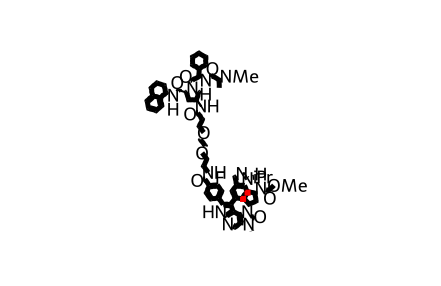 CN[C@@H](C)C(=O)N[C@H](C(=O)N1C[C@@H](NC(=O)CCOCCOCCNC(=O)c2ccc(-c3[nH]c4ncc5c(c4c3-c3ccc4c(cnn4C(C)C)c3)n([C@@H]3CC[C@@H](NC(=O)OC)C3)c(=O)n5C)cc2F)C[C@H]1C(=O)N[C@@H]1CCCc2ccccc21)C1CCCCC1